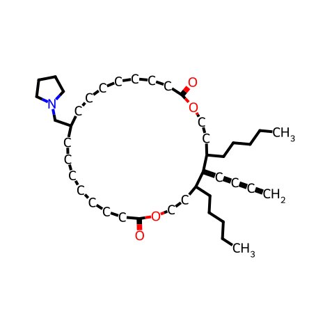 C=C=C=C=C1C(CCCCC)CCOC(=O)CCCCCCCC(CN2CCCC2)CCCCCCCC(=O)OCCC1CCCCC